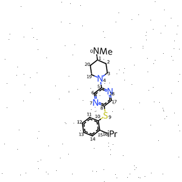 CNC1CCN(c2cnc(Sc3ccccc3C(C)C)cn2)CC1